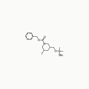 CC(C)(C)[Si](C)(C)OCC1CC(I)CN(C(=O)OCc2ccccc2)C1